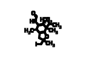 CC1=C(NC=O)C(C)C2=C(OC(C)(CI)C2)C1(C)C(C)C